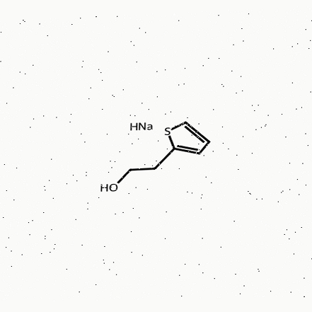 OCCc1cccs1.[NaH]